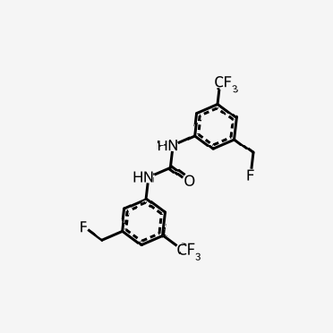 O=C(Nc1cc(CF)cc(C(F)(F)F)c1)Nc1cc(CF)cc(C(F)(F)F)c1